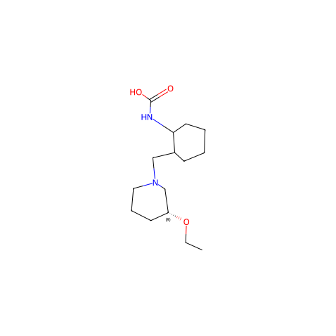 CCO[C@@H]1CCCN(CC2CCCCC2NC(=O)O)C1